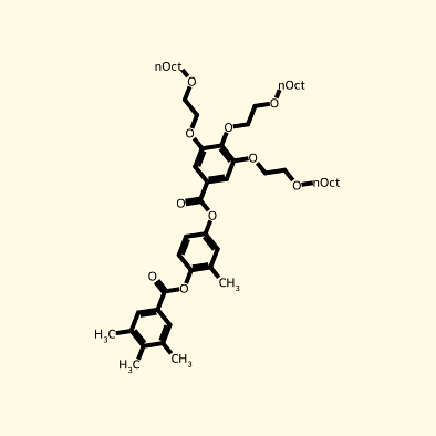 CCCCCCCCOCCOc1cc(C(=O)Oc2ccc(OC(=O)c3cc(C)c(C)c(C)c3)c(C)c2)cc(OCCOCCCCCCCC)c1OCCOCCCCCCCC